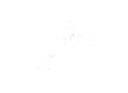 CC(C)(C)OC(=O)NC[C@H]1CC[C@H](C(=O)N2CC[C@@H](c3ccccc3)[C@H]2C(=O)Nc2ccc(C(=O)O)c(Cl)c2)CC1